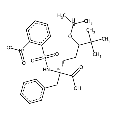 C[SiH](C)OC(CC[C@](Cc1ccccc1)(NS(=O)(=O)c1ccccc1[N+](=O)[O-])C(=O)O)C(C)(C)C